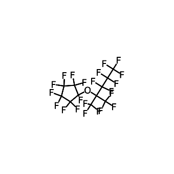 FC(F)(F)C(F)(F)C(F)(F)C(OC1(F)C(F)(F)C(F)(F)C(F)(F)C1(F)F)(C(F)(F)F)C(F)(F)F